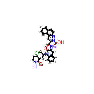 O=C(O)NC(Cc1cccc2ccccc12)C(=O)NC(Cc1ccccc1)C(=O)NC(CCl)C[C@@H]1CCCNC1=O